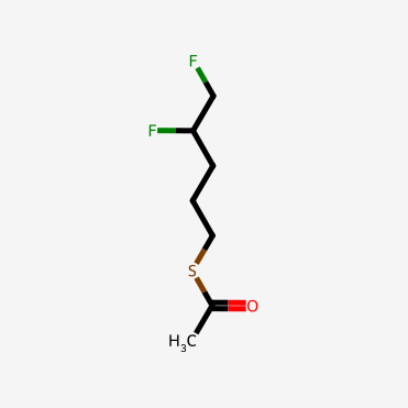 CC(=O)SCCCC(F)CF